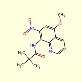 COc1cc([N+](=O)[O-])c(NC(=O)C(C)(C)C)c2ncccc12